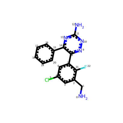 NCc1cc(Cl)cc(-c2nnc(N)nc2-c2ccccc2)c1F